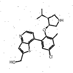 Cc1cc(Cl)cc(-c2ccnc3cc(CO)sc23)c1O[C@@H]1CNC[C@@H]1C(C)C